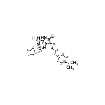 CC(C)N1CCN(CCCCn2c(=O)[nH]c3c(N)nc(OC4CCCC4)nc32)CC1